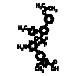 CCC1NC(C(=O)O)CC12CCN(c1cc(O[C@H](c3ccc(-c4cccc(OC(C)C)c4)cc3-n3ccc(C)n3)C(F)(F)F)nc(N)n1)CC2